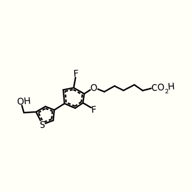 O=C(O)CCCCCOc1c(F)cc(-c2csc(CO)c2)cc1F